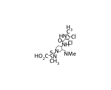 CNCC1CN(c2nc(C)c(C(=O)O)s2)CCC1NC(=O)c1[nH]c(C)c(Cl)c1Cl